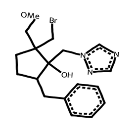 COCC1(CBr)CCC(Cc2ccccc2)C1(O)Cn1cncn1